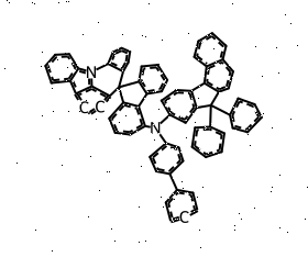 c1ccc(-c2ccc(N(c3ccc4c(c3)C(c3ccccc3)(c3ccccc3)c3ccc5ccccc5c3-4)c3cccc4c3-c3ccccc3C43c4ccccc4-n4c5ccccc5c5cccc3c54)cc2)cc1